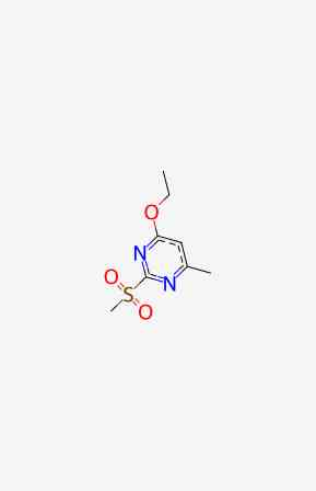 CCOc1cc(C)nc(S(C)(=O)=O)n1